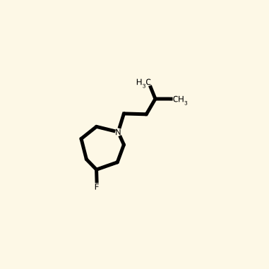 CC(C)CCN1CCCC(F)CC1